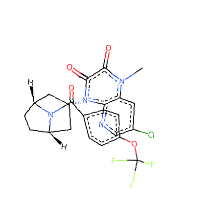 Cn1c(=O)c(=O)n([C@H]2C[C@H]3CC[C@@H](C2)N3C(=O)c2ccc(OC(F)(F)F)cc2)c2ncc(Cl)cc21